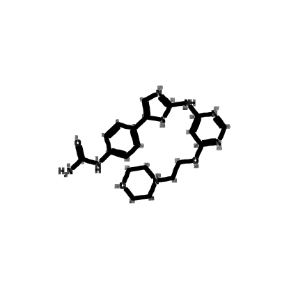 NC(=O)Nc1ccc(-c2cnc(Nc3cc(OCCN4CCOCC4)ncn3)s2)cc1